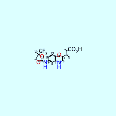 CC(CC(=O)O)C1CNc2cc(NC(=O)OC(C)(C)C(F)(F)F)ccc2O1